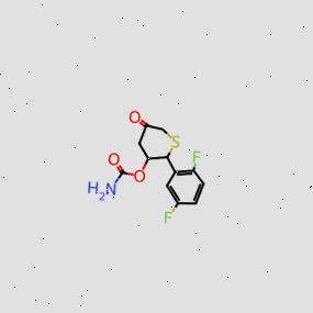 NC(=O)OC1CC(=O)CSC1c1cc(F)ccc1F